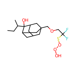 CCC(C)C1(O)C2CC3CC1CC(COCC(F)(F)SOOO)(C3)C2